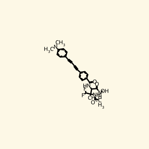 CC(=O)NC(C)(C(F)F)C(NC(=O)c1ccc(C#CC#Cc2ccc(N(C)C)cc2)cc1)C(=O)NO